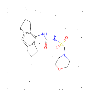 O=C(Nc1c2c(cc3c1CCC3)CCC2)NS(=O)(=O)CN1CCOCC1